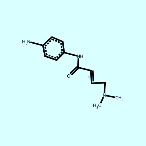 CN(C)C/C=C/C(=O)Nc1ccc(N)cc1